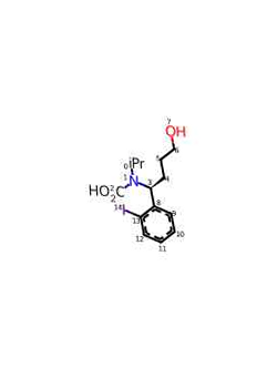 CC(C)N(C(=O)O)[C@@H](CCCO)c1ccccc1I